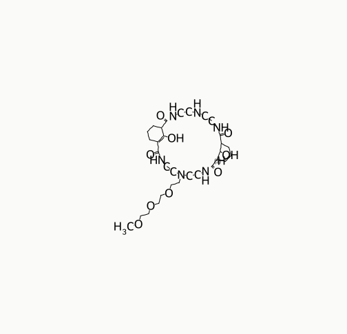 COCCOCCOCCN1CCNC(=O)C2=C(O)C(CCC2)C(=O)NCCNCCNC(=O)C2CC=C[C@H](C(=O)NCC1)C2O